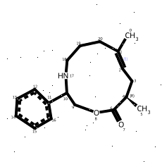 C/C1=C\C[C@@H](C)C(=O)OCC(c2ccccc2)NCCC1